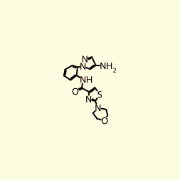 Nc1cnn(-c2ccccc2NC(=O)c2csc(N3CCOCC3)n2)c1